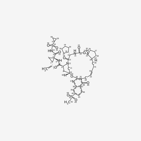 C=C[C@@H]1C[C@]1(NC(=O)[C@@H]1C[C@@H]2CN1C(=O)[C@H](C1CCCC1)NC(=O)O[C@@H]1CCC[C@H]1CCC=CCn1c(nc3cc(S(C)(=O)=O)ccc3c1=O)O2)C(=O)NS(=O)(=O)C1CC1